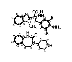 Cn1c([C@](N)(Cc2cc(Br)c(N)c(Br)c2)C(=O)O)nc2ccccc21.O=C1Nc2ccccc2CCN1C1CCNCC1